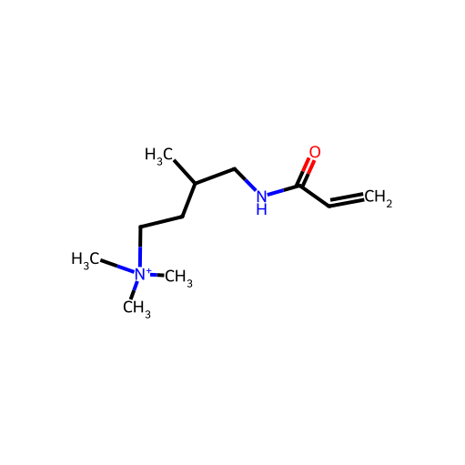 C=CC(=O)NCC(C)CC[N+](C)(C)C